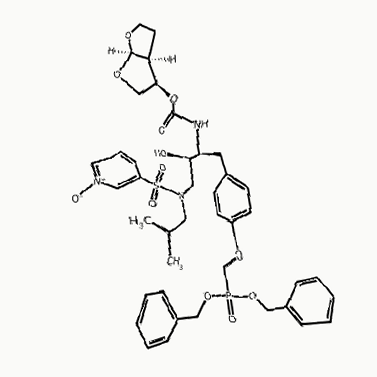 CC(C)CN(C[C@@H](O)[C@H](Cc1ccc(OCP(=O)(OCc2ccccc2)OCc2ccccc2)cc1)NC(=O)O[C@H]1CO[C@H]2OCC[C@H]21)S(=O)(=O)c1ccc[n+]([O-])c1